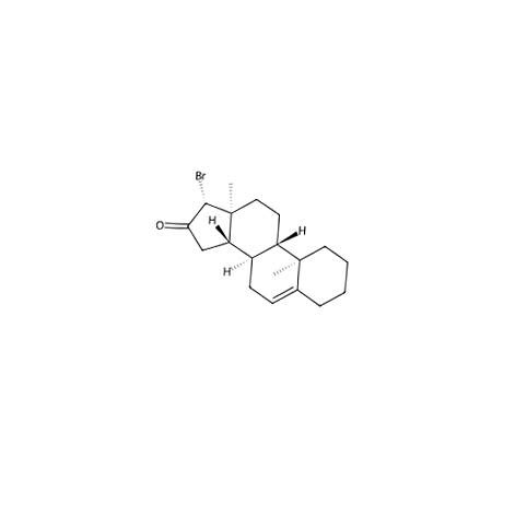 C[C@]12CC[C@H]3[C@@H](CC=C4CCCC[C@@]43C)[C@@H]1CC(=O)[C@@H]2Br